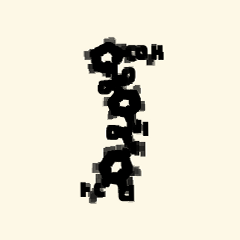 O=C(Nc1ccc(S(=O)(=O)N2CCC[C@H]2C(=O)O)cc1)Nc1ccc(C(F)(F)F)c(Cl)c1